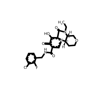 CCN1C(=O)c2c(O)c(=O)c(C(=O)NCc3cccc(Cl)c3F)cn2[C@H]2CCOC[C@H]21